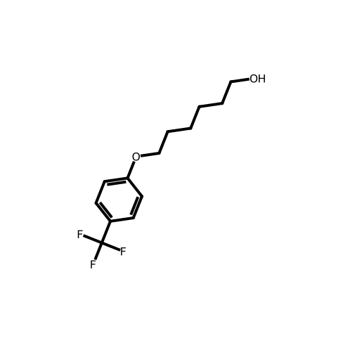 OCCCCCCOc1ccc(C(F)(F)F)cc1